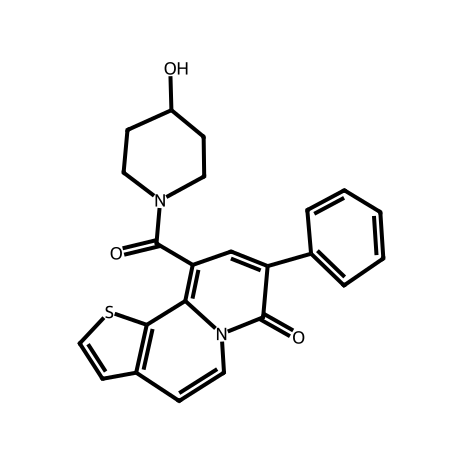 O=C(c1cc(-c2ccccc2)c(=O)n2ccc3ccsc3c12)N1CCC(O)CC1